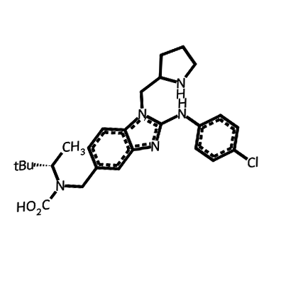 C[C@H](N(Cc1ccc2c(c1)nc(Nc1ccc(Cl)cc1)n2CC1CCCN1)C(=O)O)C(C)(C)C